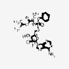 CC(C)OC(=O)[C@@H](C)NP(=O)(OC[C@H]1O[C@@H](n2cnc3c(N)ncnc32)[C@@](F)(Cl)[C@@H]1O)Oc1ccccc1